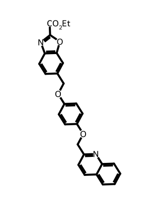 CCOC(=O)c1nc2ccc(COc3ccc(OCc4ccc5ccccc5n4)cc3)cc2o1